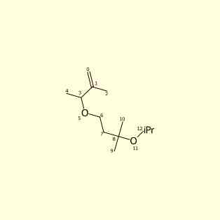 C=C(C)C(C)OCCC(C)(C)OC(C)C